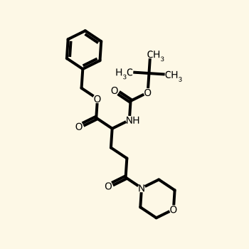 CC(C)(C)OC(=O)NC(CCC(=O)N1CCOCC1)C(=O)OCc1ccccc1